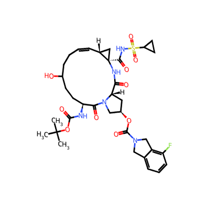 CC(C)(C)OC(=O)N[C@H]1CCC(O)CC/C=C\[C@@H]2C[C@@]2(C(=O)NS(=O)(=O)C2CC2)NC(=O)[C@@H]2C[C@@H](OC(=O)N3Cc4cccc(F)c4C3)CN2C1=O